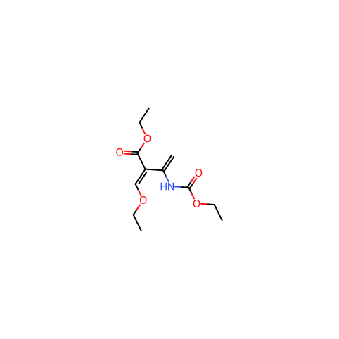 C=C(NC(=O)OCC)/C(=C\OCC)C(=O)OCC